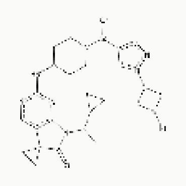 CCN1CC(n2cc([S+]([O-])N3CCC(Nc4ncc5c(n4)N(C(C)C4CC4)C(=O)C54CC4)CC3)cn2)C1